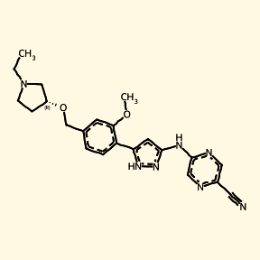 CCN1CC[C@@H](OCc2ccc(-c3cc(Nc4cnc(C#N)cn4)n[nH]3)c(OC)c2)C1